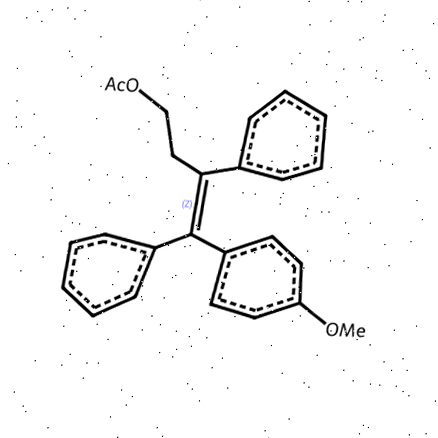 COc1ccc(/C(=C(/CCOC(C)=O)c2ccccc2)c2ccccc2)cc1